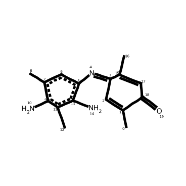 CC1=CC(=Nc2cc(C)c(N)c(C)c2N)C(C)=CC1=O